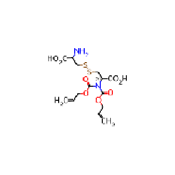 C=CCOC(=O)N(C(=O)OCC=C)[C@@H](CSSCC(N)C(=O)O)C(=O)O